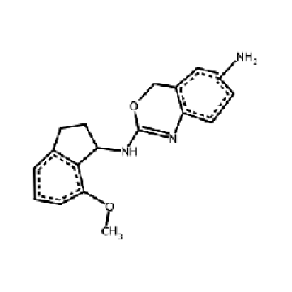 COc1cccc2c1C(NC1=Nc3ccc(N)cc3CO1)CC2